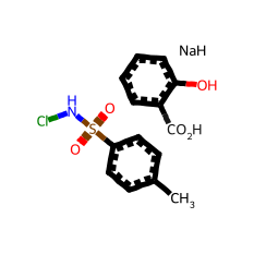 Cc1ccc(S(=O)(=O)NCl)cc1.O=C(O)c1ccccc1O.[NaH]